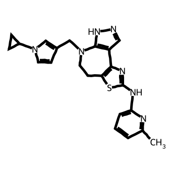 Cc1cccc(Nc2nc3c(s2)CCN(Cc2ccn(C4CC4)c2)c2[nH]ncc2-3)n1